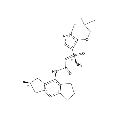 C[C@@H]1Cc2cc3c(c(NC(=O)N=[S@@](N)(=O)c4cnn5c4OCC(C)(C)C5)c2C1)CCC3